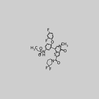 CCS(=O)(=O)Nc1ccc(Oc2ccc(F)cc2F)c(-c2cn(C)c(=O)c3cc(C(=O)N4CCCC(F)(F)C4)sc23)c1